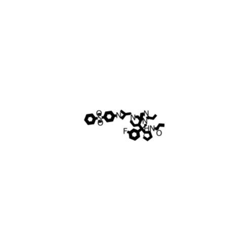 C=CC(=O)N[C@H]1CCC[C@@H]1[C@](Cn1ccnc1CC)(c1cccc(F)c1)C1CCN(CC2CN(c3ccc(S(=O)(=O)c4ccccc4)cc3)C2)CC1